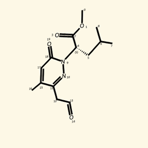 COC(=O)[C@H](CC(C)C)n1nc(CC=O)c(C)cc1=O